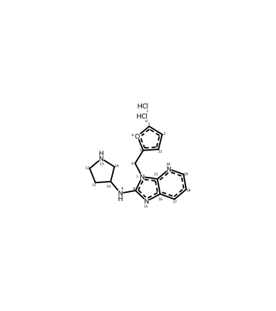 Cl.Cl.c1coc(Cn2c(NC3CCNC3)nc3cccnc32)c1